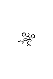 CCOC(=O)CCC1(CCC(C)=O)C(=O)N(C2CC=CCC2)C(=O)N(C2CCCCC2)C1=O